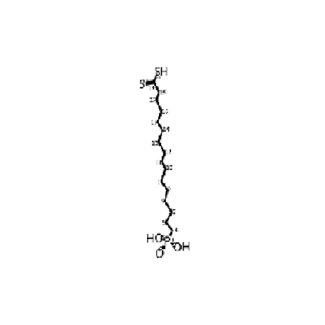 O=P(O)(O)CCCCCCCCCCCCCCCC(=S)S